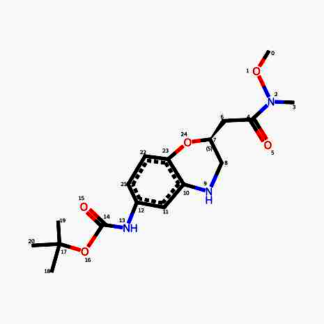 CON(C)C(=O)C[C@H]1CNc2cc(NC(=O)OC(C)(C)C)ccc2O1